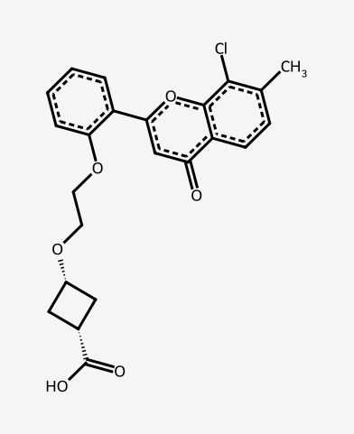 Cc1ccc2c(=O)cc(-c3ccccc3OCCO[C@H]3C[C@@H](C(=O)O)C3)oc2c1Cl